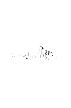 CNC/C=C(\Cl)C(=O)N1CC(OCCCN2C[C@H]3CC(=O)N(c4cc(C(F)(F)F)cc(C)n4)[C@@H]3C(=O)N(C)c3cccc(F)c32)C1